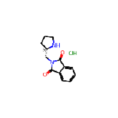 Cl.O=C1c2ccccc2C(=O)N1C[C@@H]1CCCN1